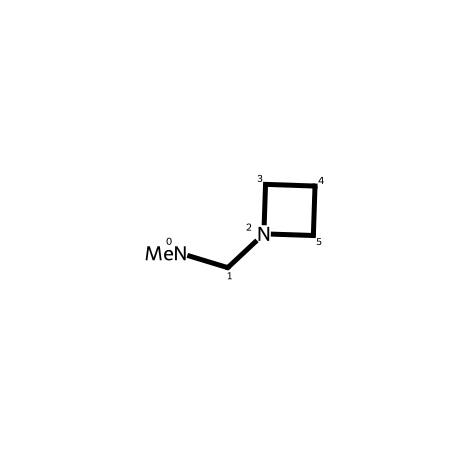 CNCN1CCC1